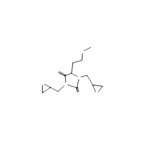 CSCCC1C(=O)N(CC2CO2)C(=O)N1CC1CO1